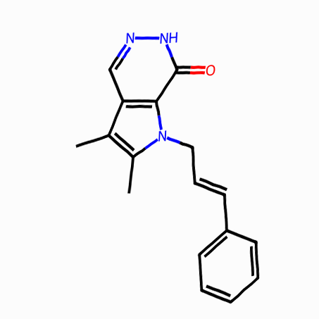 Cc1c(C)n(C/C=C/c2ccccc2)c2c(=O)[nH]ncc12